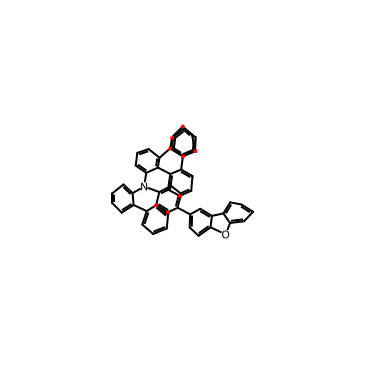 c1ccc(-c2ccccc2-c2c(-c3ccccc3)cccc2N(c2ccc(-c3ccc4oc5ccccc5c4c3)cc2)c2ccccc2-c2ccccc2)cc1